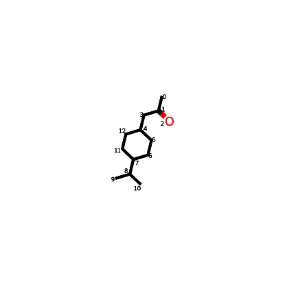 CC(=O)CC1CCC(C(C)C)CC1